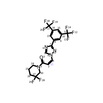 O=C(/C=C\n1cnc(-c2cc(C(F)(F)F)cc(C(F)(F)F)c2)n1)N1CCCC(F)(F)C1